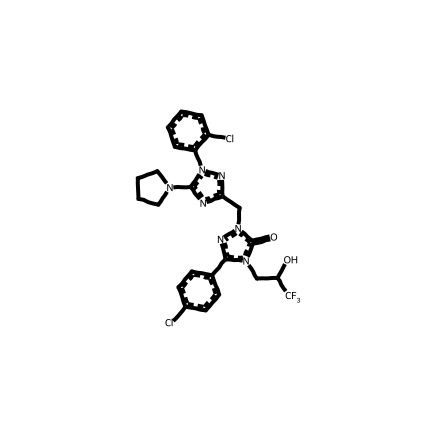 O=c1n(Cc2nc(N3CCCC3)n(-c3ccccc3Cl)n2)nc(-c2ccc(Cl)cc2)n1CC(O)C(F)(F)F